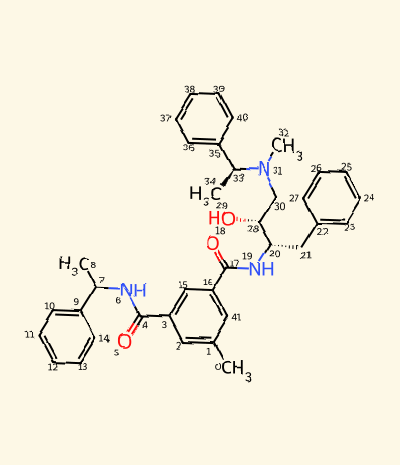 Cc1cc(C(=O)NC(C)c2ccccc2)cc(C(=O)N[C@@H](Cc2ccccc2)[C@H](O)CN(C)[C@@H](C)c2ccccc2)c1